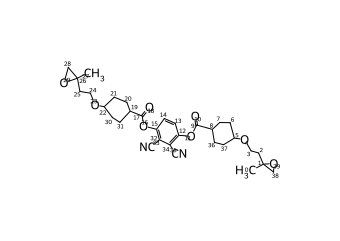 CC1(CCOC2CCC(C(=O)Oc3ccc(OC(=O)C4CCC(OCCC5(C)CO5)CC4)c(C#N)c3C#N)CC2)CO1